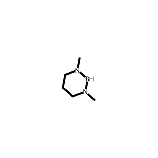 CN1BN(C)CCC1